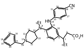 CCC(CC(=O)O)c1ccc(N(CC)C2CCN(Cc3ccccc3)CC2)c(Nc2ccc(C#N)cc2)c1